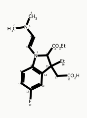 CCOC(=O)C1N(C=CN(C)C)c2ccc(F)cc2C1(CC)CC(=O)O